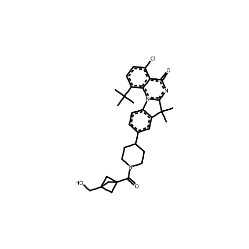 CC(C)(C)c1ccc(Cl)c2c(=O)nc3n(c12)-c1ccc(C2CCN(C(=O)C45CC(CO)(C4)C5)CC2)cc1C3(C)C